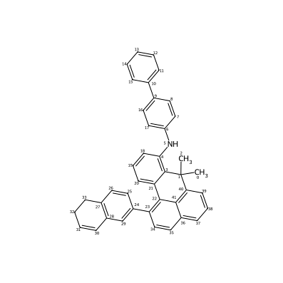 CC1(C)c2c(Nc3ccc(-c4ccccc4)cc3)cccc2-c2c(-c3ccc4c(c3)C=CCC4)ccc3cccc1c23